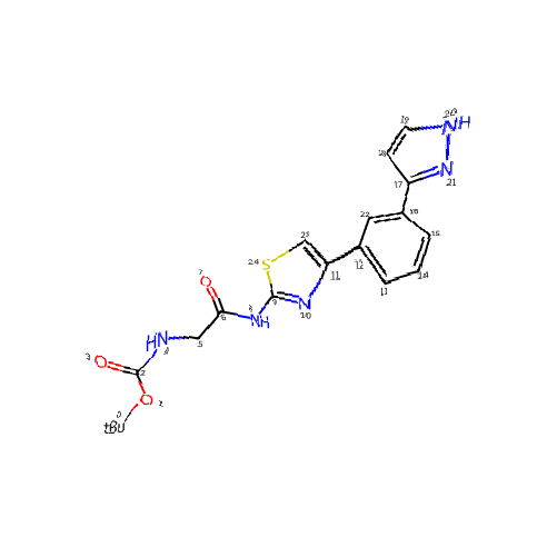 CC(C)(C)OC(=O)NCC(=O)Nc1nc(-c2cccc(-c3cc[nH]n3)c2)cs1